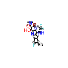 CN(C)C(=O)c1c(O)c2ncc(Cc3ccc(F)[c]([Rb])c3)c3c2n(c1=O)CC(F)(F)CN3